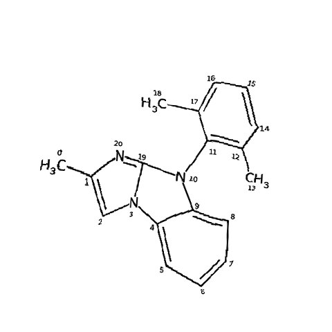 Cc1cn2c3ccccc3n(-c3c(C)cccc3C)c2n1